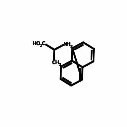 CC(N)C(=O)O.c1cc2c3cccc2c3c1